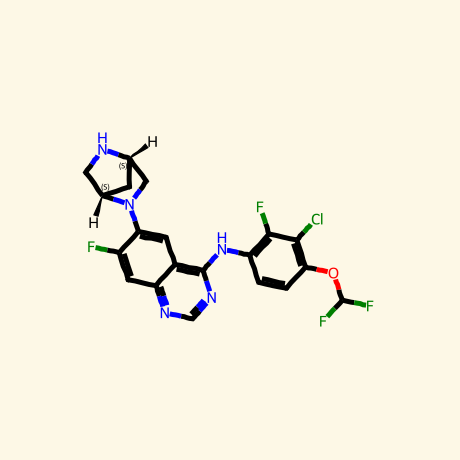 Fc1cc2ncnc(Nc3ccc(OC(F)F)c(Cl)c3F)c2cc1N1C[C@@H]2C[C@H]1CN2